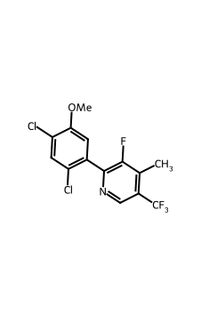 COc1cc(-c2ncc(C(F)(F)F)c(C)c2F)c(Cl)cc1Cl